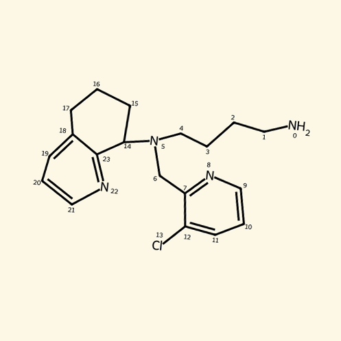 NCCCCN(Cc1ncccc1Cl)C1CCCc2cccnc21